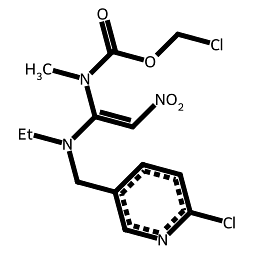 CCN(Cc1ccc(Cl)nc1)C(=C[N+](=O)[O-])N(C)C(=O)OCCl